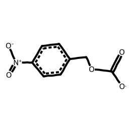 [O]C(=O)OCc1ccc([N+](=O)[O-])cc1